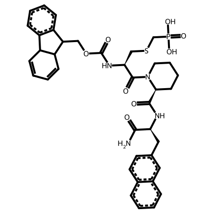 NC(=O)[C@H](Cc1ccc2ccccc2c1)NC(=O)[C@@H]1CCCCN1C(=O)[C@H](CSCP(=O)(O)O)NC(=O)OCC1c2ccccc2C2C=CC=CC21